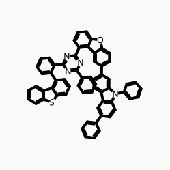 c1ccc(-c2ccc3c(c2)c2ccc(-c4ccc5oc6cccc(-c7nc(-c8ccccc8)nc(-c8ccccc8-c8cccc9sc%10ccccc%10c89)n7)c6c5c4)cc2n3-c2ccccc2)cc1